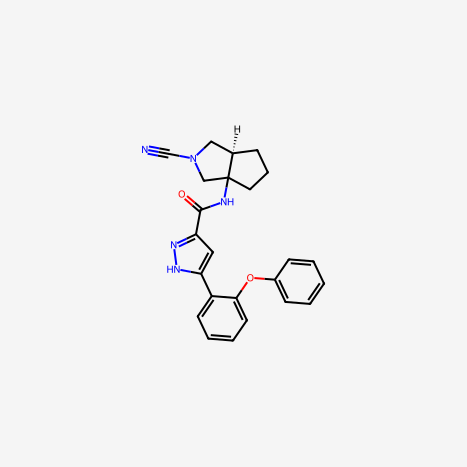 N#CN1C[C@H]2CCCC2(NC(=O)c2cc(-c3ccccc3Oc3ccccc3)[nH]n2)C1